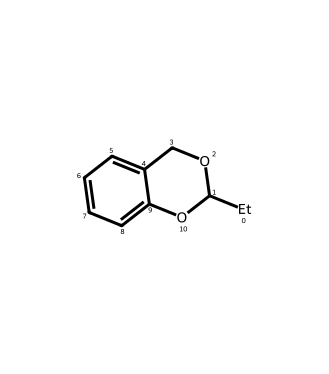 [CH2]CC1OCc2ccccc2O1